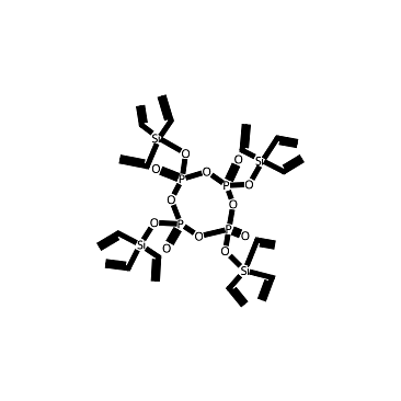 C=C[Si](C=C)(C=C)OP1(=O)OP(=O)(O[Si](C=C)(C=C)C=C)OP(=O)(O[Si](C=C)(C=C)C=C)OP(=O)(O[Si](C=C)(C=C)C=C)O1